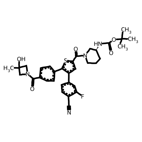 CC1(O)CN(C(=O)c2ccc(-c3sc(C(=O)N4CCC[C@@H](NC(=O)OC(C)(C)C)C4)cc3-c3ccc(C#N)c(F)c3)cc2)C1